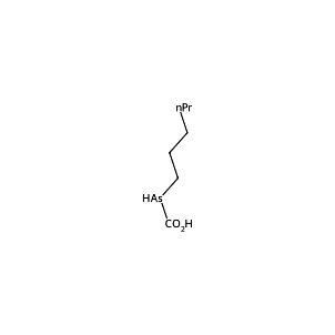 [CH2]CCCCC[AsH]C(=O)O